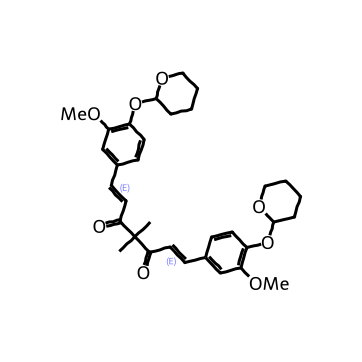 COc1cc(/C=C/C(=O)C(C)(C)C(=O)/C=C/c2ccc(OC3CCCCO3)c(OC)c2)ccc1OC1CCCCO1